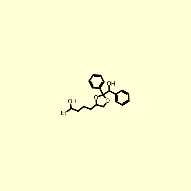 CCC(O)CCCC1COC(c2ccccc2)(C(O)c2ccccc2)O1